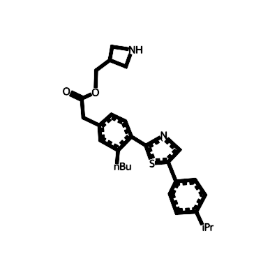 CCCCc1cc(CC(=O)OCC2CNC2)ccc1-c1ncc(-c2ccc(C(C)C)cc2)s1